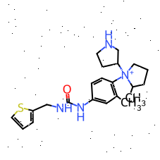 Cc1cc(NC(=O)NCc2cccs2)ccc1[N+]1(C2CCNC2)CCCC1C